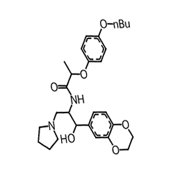 CCCCOc1ccc(OC(C)C(=O)NC(CN2CCCC2)C(O)c2ccc3c(c2)OCCO3)cc1